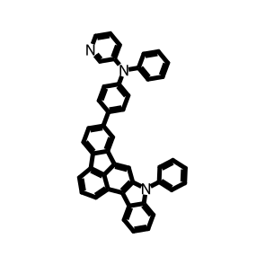 c1ccc(N(c2ccc(-c3ccc4c(c3)-c3cc5c(c6cccc-4c36)c3ccccc3n5-c3ccccc3)cc2)c2cccnc2)cc1